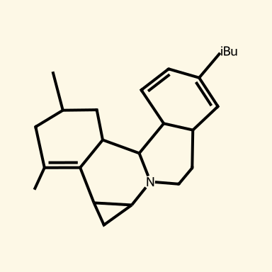 CCC(C)C1=CC2CCN3C4CC4C4=C(C)CC(C)CC4C3C2C=C1